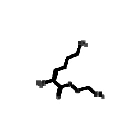 CCCCC=C(C)C(=O)OOCC